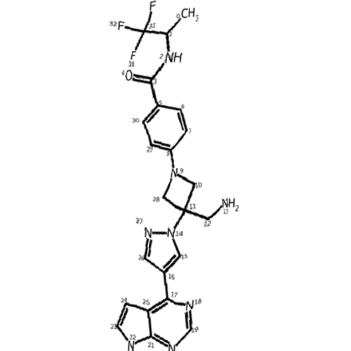 CC(NC(=O)c1ccc(N2CC(CN)(n3cc(-c4ncnc5[nH]ccc45)cn3)C2)cc1)C(F)(F)F